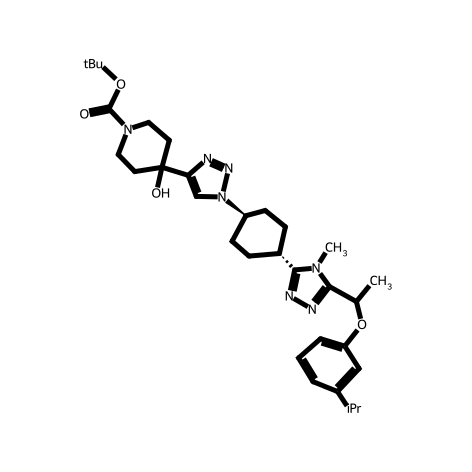 CC(C)c1cccc(OC(C)c2nnc([C@H]3CC[C@H](n4cc(C5(O)CCN(C(=O)OC(C)(C)C)CC5)nn4)CC3)n2C)c1